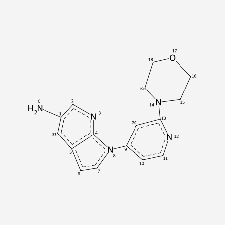 Nc1cnc2c(ccn2-c2ccnc(N3CCOCC3)c2)c1